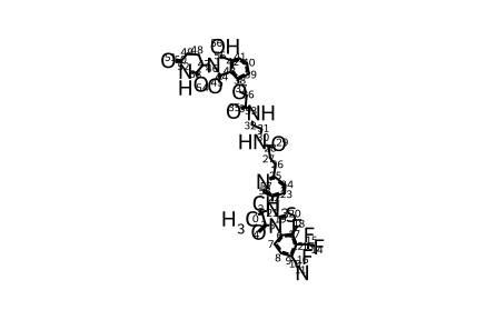 CC1(C)C(=O)N(c2ccc(C#N)c(C(F)(F)F)c2F)C(=S)N1c1ccc(CCC(=O)NCCNC(=O)COc2cccc3c2C(=O)N(C2CCC(=O)NC2=O)C3O)nc1